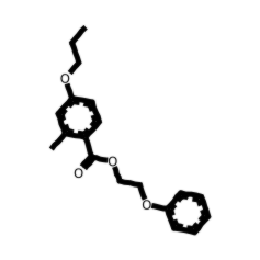 CCCOc1ccc(C(=O)OCCOc2ccccc2)c(C)c1